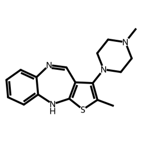 Cc1sc2c(c1N1CCN(C)CC1)C=Nc1ccccc1N2